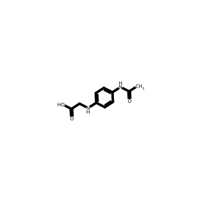 CC(=O)Nc1ccc(NCC(=O)O)cc1